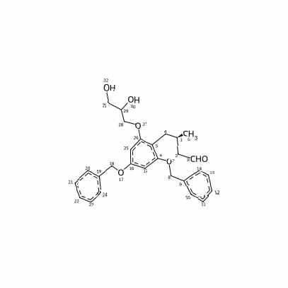 C[C@@H](CC=O)Cc1c(OCc2ccccc2)cc(OCc2ccccc2)cc1OCC(O)CO